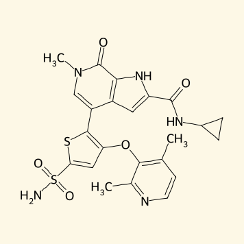 Cc1ccnc(C)c1Oc1cc(S(N)(=O)=O)sc1-c1cn(C)c(=O)c2[nH]c(C(=O)NC3CC3)cc12